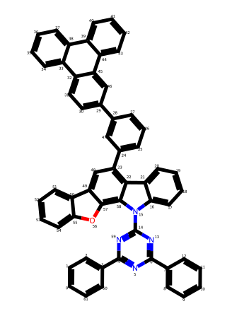 c1ccc(-c2nc(-c3ccccc3)nc(-n3c4ccccc4c4c(-c5cccc(-c6ccc7c8ccccc8c8ccccc8c7c6)c5)cc5c6ccccc6oc5c43)n2)cc1